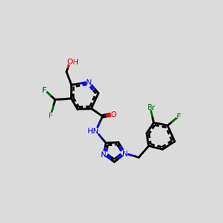 O=C(Nc1cn(Cc2ccc(F)c(Br)c2)cn1)c1cnc(CO)c(C(F)F)c1